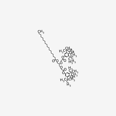 CCCCCCCCCCCCCCCCCC(=O)OCC(COCC(=O)Oc1cc(C(C)(C)C)c(O)c(C(C)(C)C)c1)OCC(=O)Oc1cc(C(C)(C)C)c(O)c(C(C)(C)C)c1